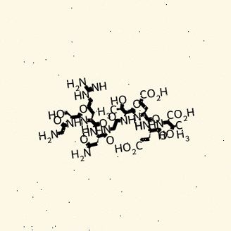 C[C@@H](O)[C@H](NC(=O)[C@H](CCC(=O)O)NC(=O)[C@H](CCC(=O)O)NC(=O)[C@@H](NC(=O)CNC(=O)[C@H](CC(N)=O)NC(=O)[C@H](CCCNC(=N)N)NC(=O)[C@H](CO)NC(=O)CN)[C@@H](C)O)C(=O)O